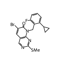 CSc1ncc2cc(Br)c(=O)n(Cc3c(F)cccc3C3CC3)c2n1